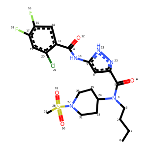 CCCCN(C(=O)c1cc(NC(=O)c2cc(F)c(F)cc2Cl)[nH]n1)C1CCN(S(C)(=O)=O)CC1